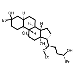 CCO[C@H](CC[C@H](O)C(C)C)[C@H]1CC[C@H]2[C@@H]3CC[C@@H]4C[C@](O)(CC)CC[C@]4(C)[C@H]3CC[C@]12C